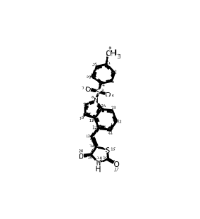 Cc1ccc(S(=O)(=O)n2ccc3c(/C=C4\SC(=O)NC4=O)cccc32)cc1